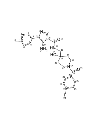 Cc1ccc(-c2ncc(C(=O)NCC3(O)CCN(C(=O)c4ccc(F)cc4)CC3)n2N)cc1